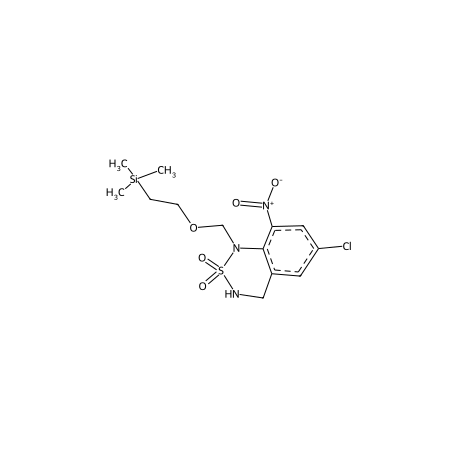 C[Si](C)(C)CCOCN1c2c(cc(Cl)cc2[N+](=O)[O-])CNS1(=O)=O